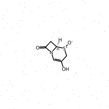 O=C1C[C@@H]2N1C=C(O)C[S+]2[O-]